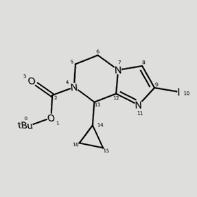 CC(C)(C)OC(=O)N1CCn2cc(I)nc2C1C1CC1